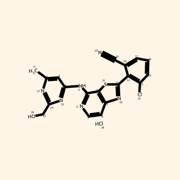 Cc1cc(Nc2nccc3nc(-c4c(Cl)cccc4C#N)sc23)nc(CO)n1.Cl